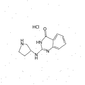 Cl.O=c1[nH]c(NC2CCNC2)nc2ccccc12